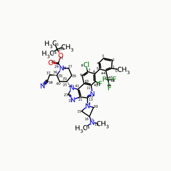 Cc1cccc(-c2c(Cl)cc3c(nc(N4CC(N(C)C)C4)c4ncn([C@H]5CCN(C(=O)OC(C)(C)C)[C@H](CC#N)C5)c43)c2F)c1C(F)(F)F